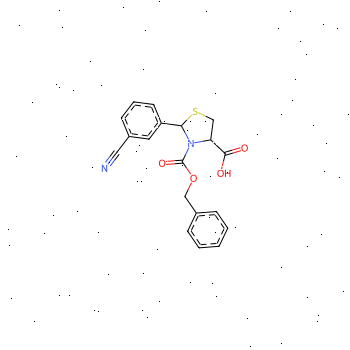 N#Cc1cccc(C2SCC(C(=O)O)N2C(=O)OCc2ccccc2)c1